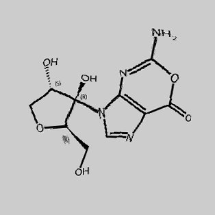 Nc1nc2c(ncn2[C@@]2(O)[C@@H](O)CO[C@@H]2CO)c(=O)o1